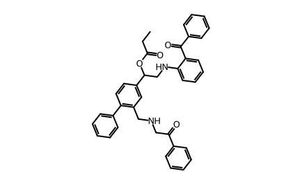 CCC(=O)OC(CNc1ccccc1C(=O)c1ccccc1)c1ccc(-c2ccccc2)c(CNCC(=O)c2ccccc2)c1